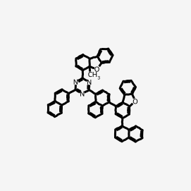 CC12Oc3ccccc3C1C=CC=C2c1nc(-c2ccc3ccccc3c2)nc(-c2ccc(-c3cc(-c4cccc5ccccc45)cc4oc5ccccc5c34)c3ccccc23)n1